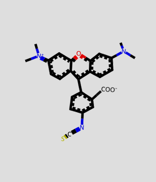 CN(C)c1ccc2c(-c3ccc(N=C=S)cc3C(=O)[O-])c3ccc(=[N+](C)C)cc-3oc2c1